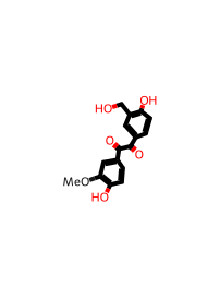 COc1cc(C(=O)C(=O)c2ccc(O)c(CO)c2)ccc1O